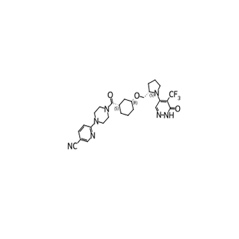 N#Cc1ccc(N2CCN(C(=O)[C@H]3CCC[C@@H](OC[C@@H]4CCCN4c4cn[nH]c(=O)c4C(F)(F)F)C3)CC2)nc1